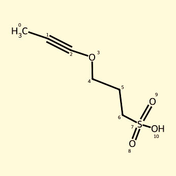 CC#COCCCS(=O)(=O)O